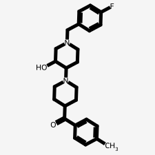 Cc1ccc(C(=O)C2CCN(C3CCN(Cc4ccc(F)cc4)CC3O)CC2)cc1